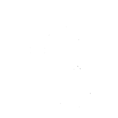 C=CC1=CCC(NC2CCCC2)C=C1CC